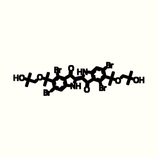 CC(C)(O)COC(C)(C)c1c(Br)cc2c(c1Br)C(=O)/C(=C1\Nc3cc(Br)c(C(C)(C)OCC(C)(C)O)c(Br)c3C1=O)N2